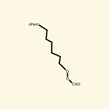 CCCCCCCCCCCOOC=O